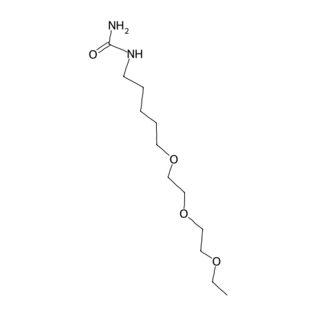 CCOCCOCCOCCCCCNC(N)=O